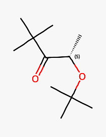 C[C@H](OC(C)(C)C)C(=O)C(C)(C)C